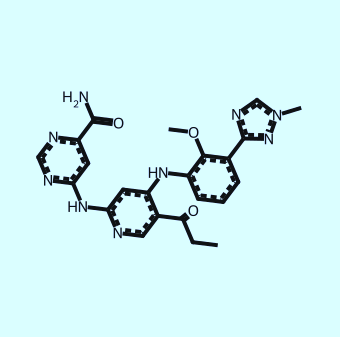 CCC(=O)c1cnc(Nc2cc(C(N)=O)ncn2)cc1Nc1cccc(-c2ncn(C)n2)c1OC